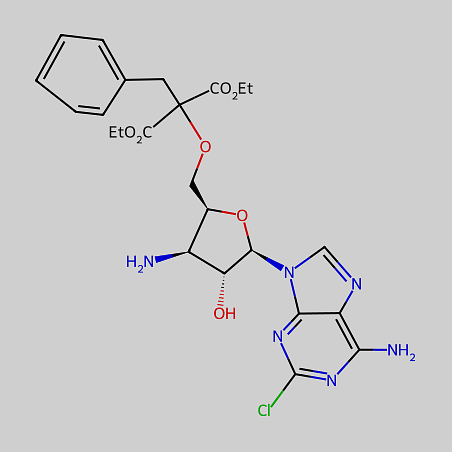 CCOC(=O)C(Cc1ccccc1)(OC[C@H]1O[C@@H](n2cnc3c(N)nc(Cl)nc32)[C@H](O)[C@H]1N)C(=O)OCC